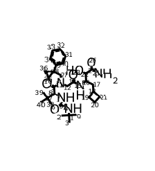 CC(C)(C)NC(=O)N[C@H](C(=O)N(CC(=O)NC(CC1CCC1)C(O)C(N)=O)CC1(c2ccccc2)CC1)C(C)(C)C